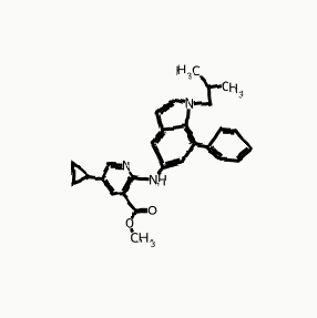 COC(=O)c1cc(C2CC2)cnc1Nc1cc(-c2ccccc2)c2c(ccn2CC(C)C)c1